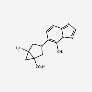 Cc1c(N2CC3(C(=O)O)CC3(C(F)(F)F)C2)ccc2ncnn12